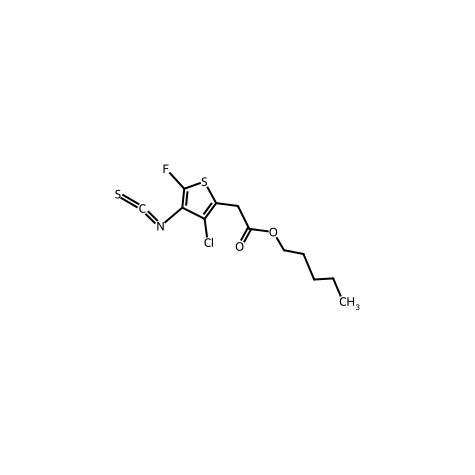 CCCCCOC(=O)Cc1sc(F)c(N=C=S)c1Cl